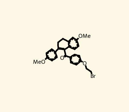 COc1ccc(C2=C(C(=O)c3ccc(OCCBr)cc3)c3ccc(OC)cc3CC2)cc1